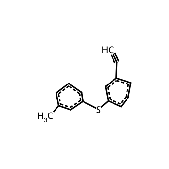 C#Cc1cccc(Sc2cccc(C)c2)c1